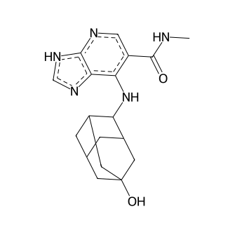 CNC(=O)c1cnc2[nH]cnc2c1NC1C2CC3CC1CC(O)(C3)C2